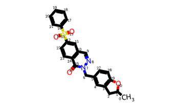 CC1Cc2cc(Cn3ncc4cc(S(=O)(=O)c5ccccc5)ccc4c3=O)ccc2O1